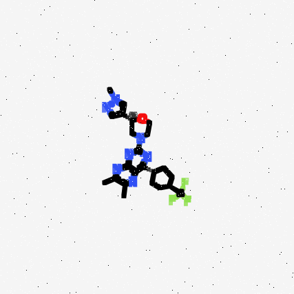 Cc1nc2nc(N3CCO[C@@H](c4cnn(C)c4)C3)nc([C@H]3CC[C@H](C(F)(F)F)CC3)c2nc1C